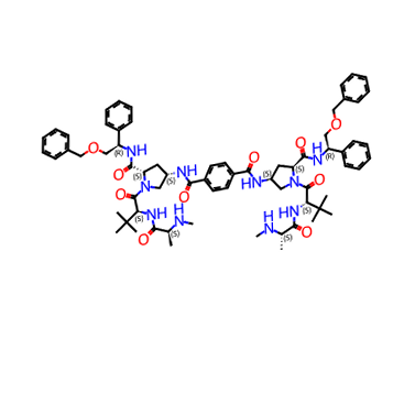 CN[C@@H](C)C(=O)N[C@H](C(=O)N1C[C@@H](NC(=O)c2ccc(C(=O)N[C@H]3C[C@@H](C(=O)N[C@@H](COCc4ccccc4)c4ccccc4)N(C(=O)[C@@H](NC(=O)[C@H](C)NC)C(C)(C)C)C3)cc2)C[C@H]1C(=O)N[C@@H](COCc1ccccc1)c1ccccc1)C(C)(C)C